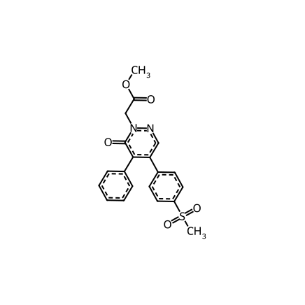 COC(=O)Cn1ncc(-c2ccc(S(C)(=O)=O)cc2)c(-c2ccccc2)c1=O